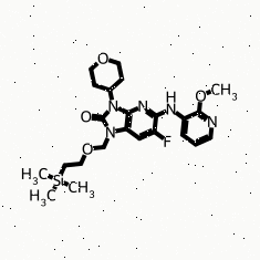 COc1ncccc1Nc1nc2c(cc1F)n(COCC[Si](C)(C)C)c(=O)n2C1CCOCC1